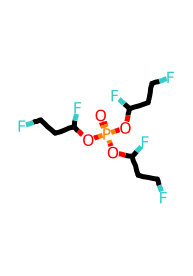 O=P(OC(F)CCF)(OC(F)CCF)OC(F)CCF